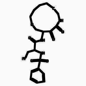 CC(C)CC(NS(=O)(=O)c1ccccc1)C(=O)NC1COCCCCCCNC(=O)C1=O